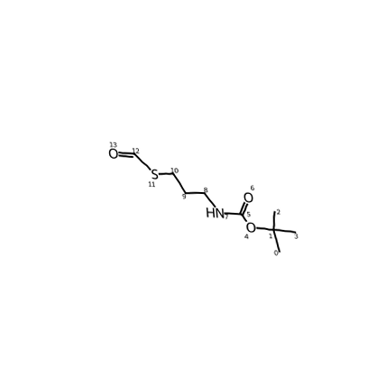 CC(C)(C)OC(=O)NCCCSC=O